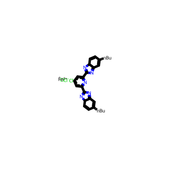 CCCCC1=CC2=NC(c3cccc(C4=NC5C=CC(CCCC)=CC5=N4)n3)=NC2C=C1.[Cl-].[Cl-].[Cl-].[Fe+3]